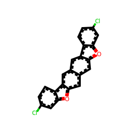 Clc1ccc2c(c1)oc1cc3cc4oc5cc(Cl)ccc5c4cc3cc12